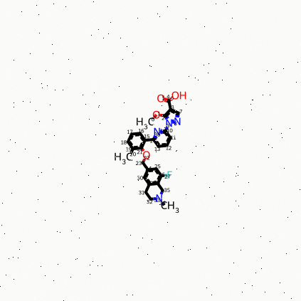 COc1c(C(=O)O)cnn1-c1cccc(-c2cccc(C)c2OCc2cc(F)c3c(c2)CCN(C)C3)n1